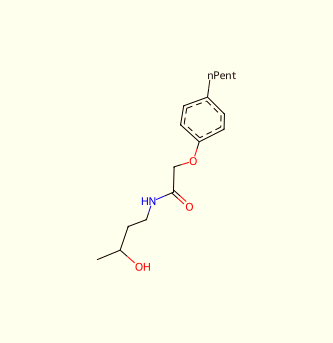 CCCCCc1ccc(OCC(=O)NCCC(C)O)cc1